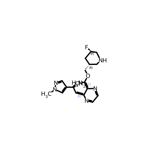 C=C(/C=c1/nccn/c1=C(/N)OC[C@H]1CNC[C@H](F)C1)c1cnn(C)c1